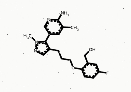 Cc1cc(-c2c(CCCOc3ccc(F)cc3CO)cnn2C)cnc1N